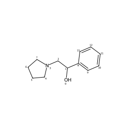 OC(CN1CCCC1)c1ccccc1